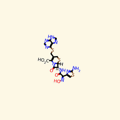 Nc1nc(/C(=N/O)C(=O)N[C@@H]2C(=O)N3C(C(=O)O)=C(CSc4ncnc5[nH]cnc45)CS[C@H]23)cs1